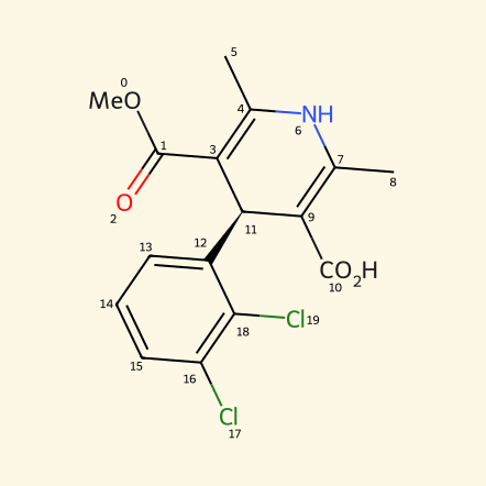 COC(=O)C1=C(C)NC(C)=C(C(=O)O)[C@H]1c1cccc(Cl)c1Cl